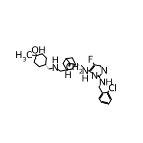 C=C1C2C[C@@H](CNC[C@H]3CC[C@@](C)(O)CC3)C[C@]1(CNc1nc(NCc3ccccc3Cl)ncc1F)C2